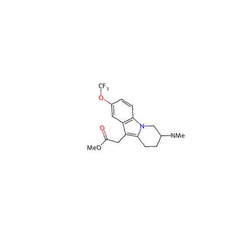 CNC1CCc2c(CC(=O)OC)c3cc(OC(F)(F)F)ccc3n2C1